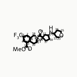 COC(=O)c1cc(C(F)(F)F)cc2c1CCN(C(=O)[C@@]1(C(C)C)CC[C@@H](NC3CCOCC3)C1)C2